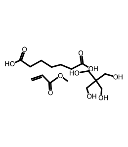 C=CC(=O)OC.O=C(O)CCCCCC(=O)O.OCC(CO)(CO)CO